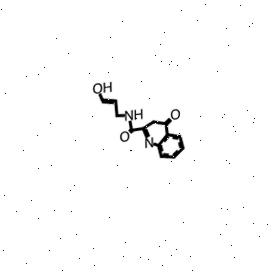 O=C(NCC=CO)C1=Nc2ccccc2C(=O)C1